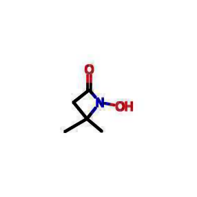 CC1(C)CC(=O)N1O